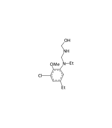 CCc1cc(Cl)c(OC)c(N(CC)CNCO)c1